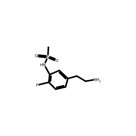 CS(=O)(=O)Nc1cc(CCN)ccc1F